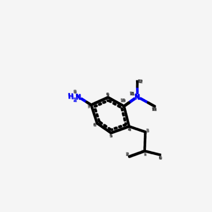 C[C](C)Cc1ccc(N)cc1N(C)C